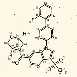 CS(=O)(=O)c1cn(-c2ncc(-c3ccccc3F)cn2)c2cc(C(=O)N3C[C@H]4C[C@@H]3CO4)ccc12